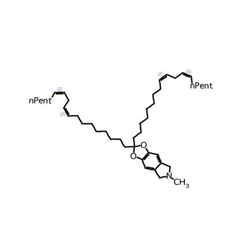 CCCCC/C=C\C/C=C\CCCCCCCCC1(CCCCCCCC/C=C\C/C=C\CCCCC)Oc2cc3c(cc2O1)CN(C)C3